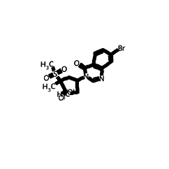 CCC(CC(C)(C(=O)O)S(C)(=O)=O)n1cnc2cc(Br)ccc2c1=O